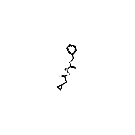 O=C(CC1CC1)ONC(=O)OCc1ccccc1